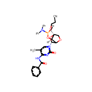 [2H]C[C@@]12COC([C@H](n3cc(C)c(NC(=O)c4ccccc4)nc3=O)O1)[C@H]2OP(OCCC#N)N(C(C)C)C(C)C